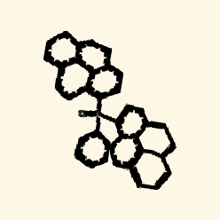 O=P(c1ccccc1)(c1ccc2c3c4c(ccc13)=CC=CC4CC=2)c1ccc2ccc3cccc4ccc1c2c34